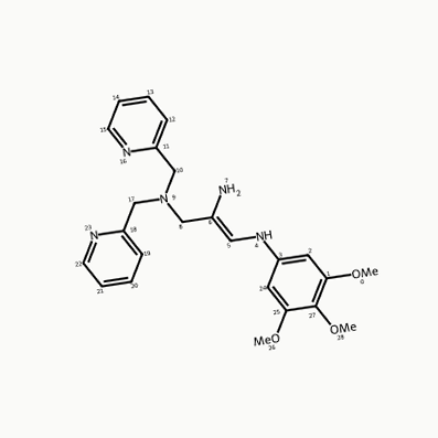 COc1cc(N/C=C(\N)CN(Cc2ccccn2)Cc2ccccn2)cc(OC)c1OC